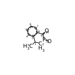 CC(C)c1ccccc1C(=O)P=O